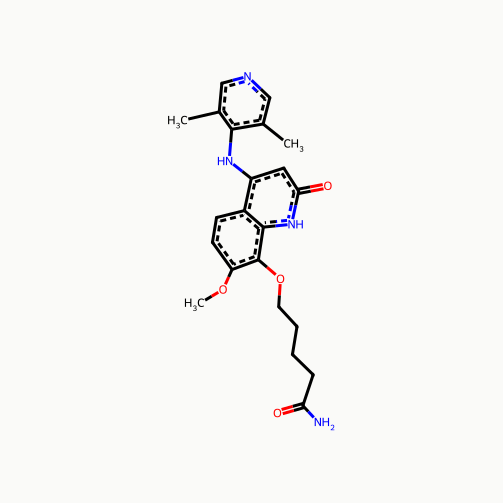 COc1ccc2c(Nc3c(C)cncc3C)cc(=O)[nH]c2c1OCCCCC(N)=O